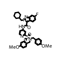 COc1ccc(CN(Cc2ccc(OC)cc2)S(=O)(=O)c2cc(NC(=O)c3c4ccc(F)cc4nn3CC3CCCCC3)ccn2)cc1